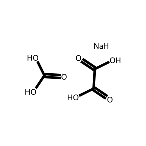 O=C(O)C(=O)O.O=C(O)O.[NaH]